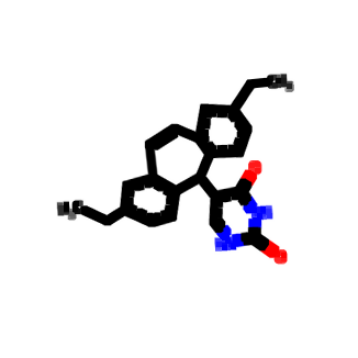 CCc1ccc2c(c1)C=Cc1cc(CC)ccc1C2c1c[nH]c(=O)[nH]c1=O